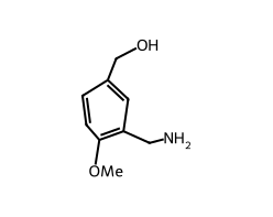 COc1ccc(CO)cc1CN